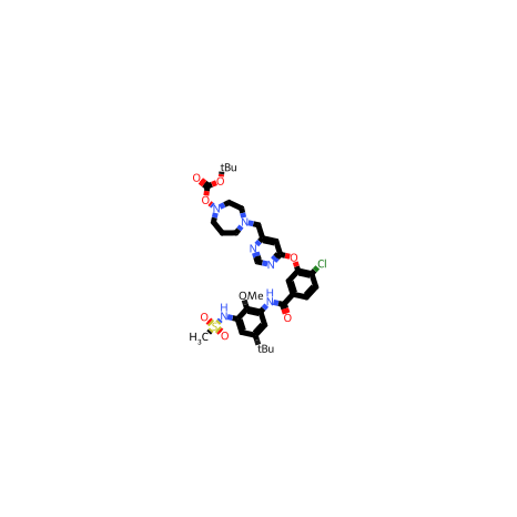 COc1c(NC(=O)c2ccc(Cl)c(Oc3cc(CN4CCCN(OC(=O)OC(C)(C)C)CC4)ncn3)c2)cc(C(C)(C)C)cc1NS(C)(=O)=O